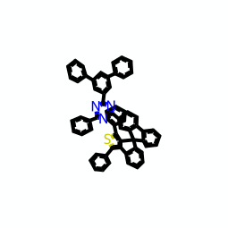 c1ccc(-c2cc(-c3ccccc3)cc(-c3nc(-c4ccccc4)nc(-c4ccc5c(c4)C4(c6ccccc6-5)c5ccccc5-c5c(-c6ccccc6)sc(-c6ccccc6)c54)n3)c2)cc1